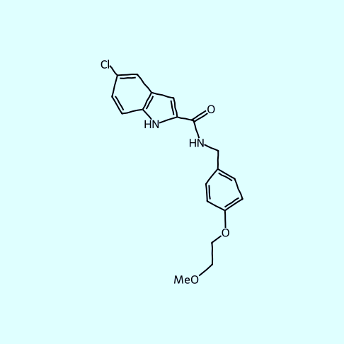 COCCOc1ccc(CNC(=O)c2cc3cc(Cl)ccc3[nH]2)cc1